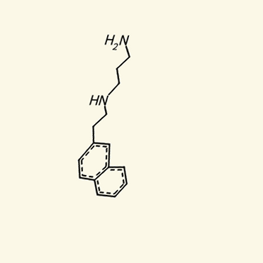 NCCCNCCc1ccc2ccccc2c1